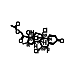 CC(=O)OCC(=O)[C@@]1(O)[C@H](C)C[C@H]2[C@@H]3[C@H](Cl)[C@@H](F)C4=CC(=O)C=C[C@]4(C)[C@@]3(Cl)[C@@H](Cl)C[C@@]21C